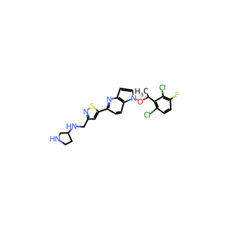 CC(On1ccc2nc(-c3cc(CNC4CCNC4)ns3)ccc21)c1c(Cl)ccc(F)c1Cl